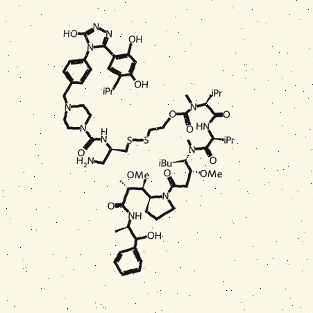 CC[C@H](C)[C@@H]([C@@H](CC(=O)N1CCC[C@H]1[C@H](OC)[C@@H](C)C(=O)N[C@H](C)C(O)c1ccccc1)OC)N(C)C(=O)[C@@H](NC(=O)[C@H](C(C)C)N(C)C(=O)OCCSSC[C@@H](CN)NC(=O)N1CCN(Cc2ccc(-n3c(O)nnc3-c3cc(C(C)C)c(O)cc3O)cc2)CC1)C(C)C